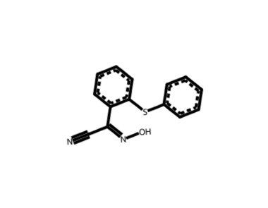 N#C/C(=N/O)c1ccccc1Sc1ccccc1